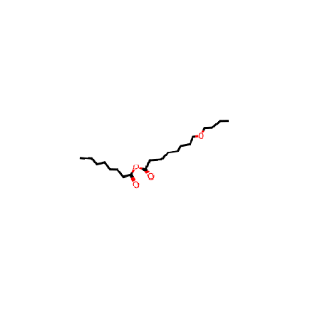 CCCCCCCC(=O)OC(=O)CCCCCCCOCCCC